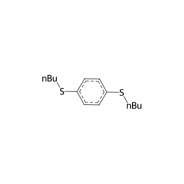 CCCCSc1ccc(SCCCC)cc1